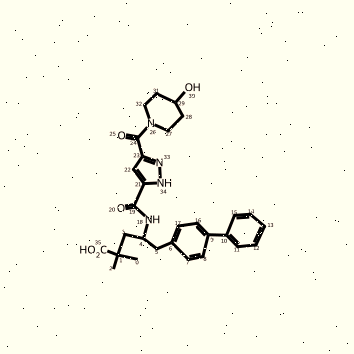 CC(C)(CC(Cc1ccc(-c2ccccc2)cc1)NC(=O)c1cc(C(=O)N2CCC(O)CC2)n[nH]1)C(=O)O